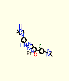 CCn1c(=O)c(-c2ccc(C3=NCC(C)=N3)cc2Cl)cc2cnc(Nc3ccc(N4CCNC(C)(C)C4)cc3)nc21